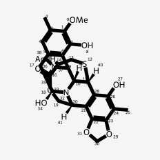 COc1c(C)cc2c(c1O)C1[C@@H]3[C@@H]4SCC(NC(C)=O)C(=O)OC[C@@H](c5c6c(c(C)c(O)c54)OCO6)N3[C@@H](O)C(C2)N1C